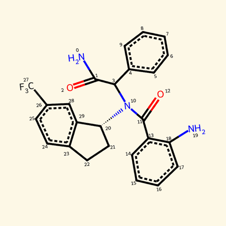 NC(=O)C(c1ccccc1)N(C(=O)c1ccccc1N)[C@@H]1CCc2ccc(C(F)(F)F)cc21